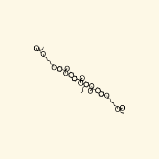 C=CC(=O)OCCCCCCOc1ccc2cc(C(=O)Oc3ccc(OC(=O)c4ccc5cc(OC(=O)c6ccc(OCCCCCCOCC7(CC)COC7)cc6)ccc5c4)c(CCC)c3)ccc2c1